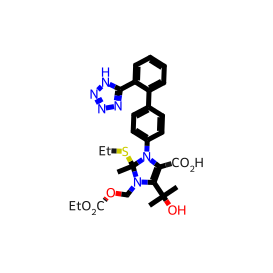 CCOC(=O)OCN1C(C(C)(C)O)=C(C(=O)O)N(c2ccc(-c3ccccc3-c3nnn[nH]3)cc2)C1(C)SCC